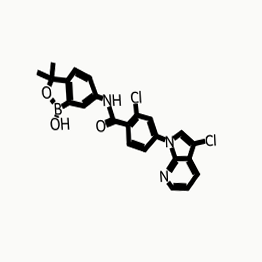 CC1(C)OB(O)c2cc(NC(=O)c3ccc(-n4cc(Cl)c5cccnc54)cc3Cl)ccc21